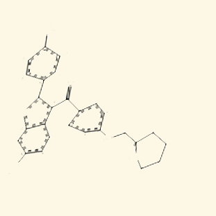 O=C(c1ccc(OCC2CCCCO2)cc1)c1c(-c2ccc(O)cc2)sc2cc(O)ccc12